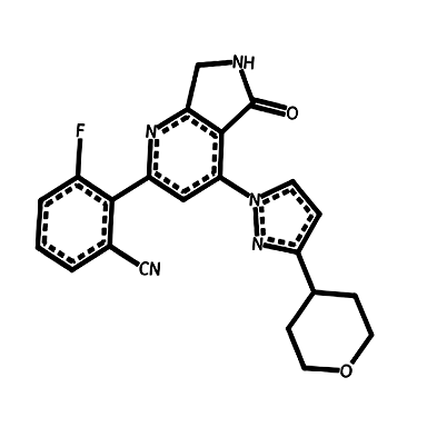 N#Cc1cccc(F)c1-c1cc(-n2ccc(C3CCOCC3)n2)c2c(n1)CNC2=O